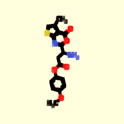 COc1ccc(OC(=O)CC(N)c2nc3scc(C)c3c(=O)o2)cc1